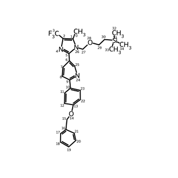 Cc1c(C(F)(F)F)nc(-c2ccc(-c3ccc(OCc4ccccc4)cc3)nc2)n1COCC[Si](C)(C)C